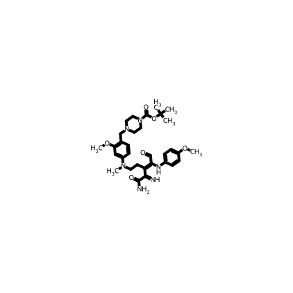 COc1ccc(N/C(C=O)=C(/CCN(C)c2ccc(CN3CCN(C(=O)OC(C)(C)C)CC3)c(OC)c2)C(=N)C(N)=O)cc1